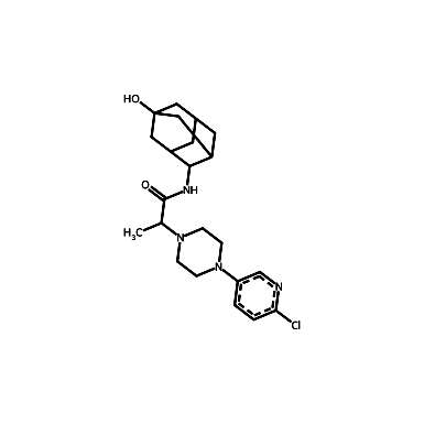 CC(C(=O)NC1C2CC3CC1CC(O)(C3)C2)N1CCN(c2ccc(Cl)nc2)CC1